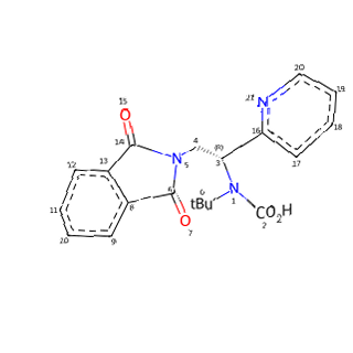 CC(C)(C)N(C(=O)O)[C@H](CN1C(=O)c2ccccc2C1=O)c1ccccn1